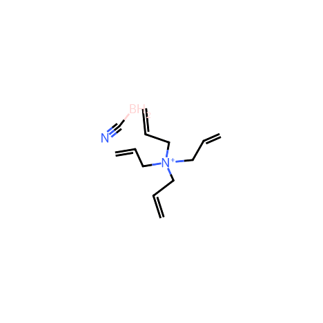 BC#N.C=CC[N+](CC=C)(CC=C)CC=C